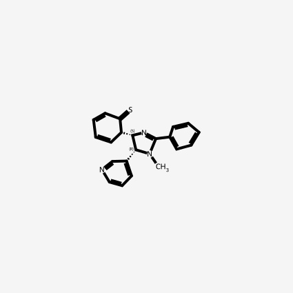 CN1C(c2ccccc2)=N[C@@H](C2C=CC=CC2=S)[C@H]1c1cccnc1